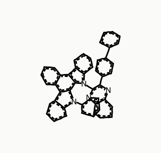 c1ccc(-c2ccc(-c3nc4ccccc4nc3-n3c4ccccc4c4c5ccccc5c5c6ccccc6n(-c6ccccc6)c5c43)cc2)cc1